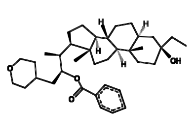 CC[C@]1(O)CC[C@@]2(C)[C@@H](CC[C@@H]3[C@@H]2CC[C@]2(C)[C@@H]([C@H](C)[C@H](CC4CCOCC4)OC(=O)c4ccccc4)CC[C@@H]32)C1